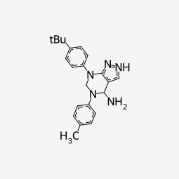 Cc1ccc(N2CN(c3ccc(C(C)(C)C)cc3)c3n[nH]cc3C2N)cc1